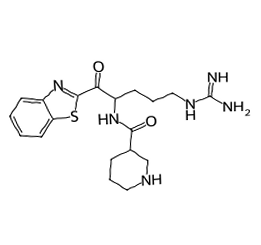 N=C(N)NCCCC(NC(=O)C1CCCNC1)C(=O)c1nc2ccccc2s1